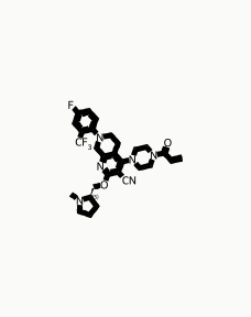 C=CC(=O)N1CCN(c2c(C#N)c(OC[C@@H]3CCCN3C)nc3c2CCN(c2ccc(F)cc2C(F)(F)F)C3)CC1